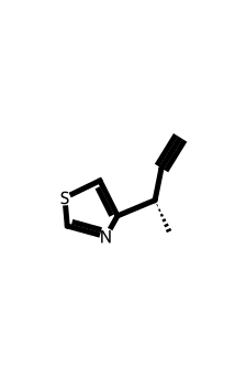 C#C[C@H](C)c1cscn1